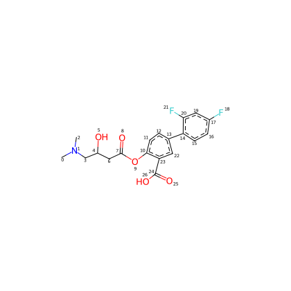 CN(C)CC(O)CC(=O)Oc1ccc(-c2ccc(F)cc2F)cc1C(=O)O